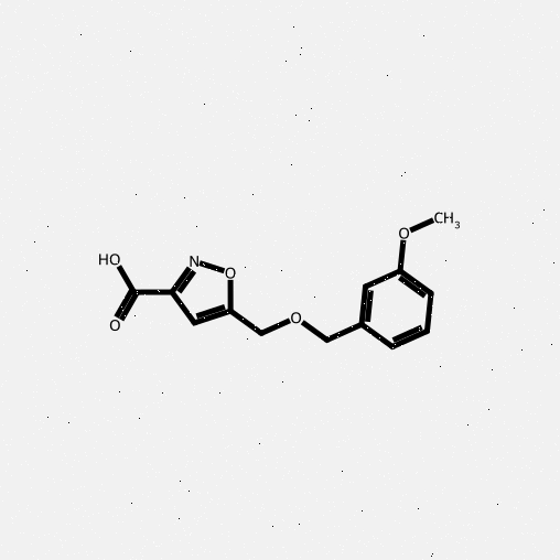 COc1cccc(COCc2cc(C(=O)O)no2)c1